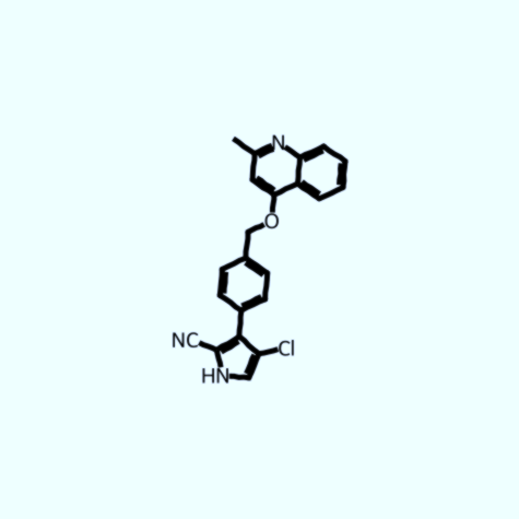 Cc1cc(OCc2ccc(-c3c(Cl)c[nH]c3C#N)cc2)c2ccccc2n1